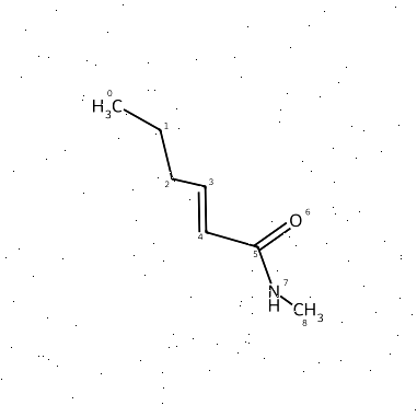 CCCC=CC(=O)NC